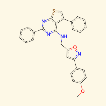 COc1ccc(-c2cc(CNc3nc(-c4ccccc4)nc4scc(-c5ccccc5)c34)on2)cc1